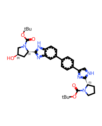 CC(C)(C)OC(=O)N1CCC[C@H]1c1nc(-c2ccc(-c3ccc4[nH]c([C@@H]5C[C@@H](O)CN5C(=O)OC(C)(C)C)nc4c3)cc2)c[nH]1